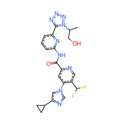 CC(CO)n1nnnc1-c1cccc(NC(=O)c2cc(-n3cnc(C4CC4)c3)c(C(F)F)cn2)n1